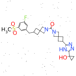 CS(=O)(=O)c1cc(F)cc(CC2CC3(C2)CN(C(=O)N2CC4(CC(c5nnc(C6(O)CC6)[nH]5)C4)C2)C3)c1